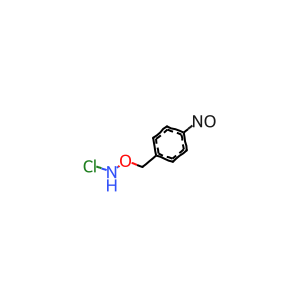 O=Nc1ccc(CONCl)cc1